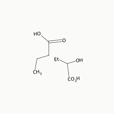 CCC(O)C(=O)O.CCCC(=O)O